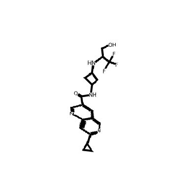 O=C(NC1CC(NC(CO)C(F)(F)F)C1)c1cnc2cc(C3CC3)ncc2c1